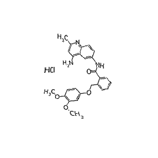 COc1ccc(OCc2ccccc2C(=O)Nc2ccc3nc(C)cc(N)c3c2)cc1OC.Cl